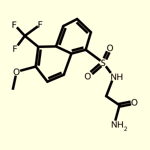 COc1ccc2c(S(=O)(=O)NCC(N)=O)cccc2c1C(F)(F)F